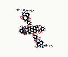 CCCCCCN(CCCCCC)c1ccc2c3c(cccc13)C(=O)C(c1ccc(Oc3cc4c5c(ccc6c7c(Oc8ccc(N9C(=O)c%10cccc%11c(N(CCCCCC)CCCCCC)ccc(c%10%11)C9=O)cc8)cc8c9c(ccc(c3c56)c97)C(=O)N(c3c(C(C)C)cccc3C(C)C)C8O)C(=O)N(c3c(CC(C)C)cccc3C(C)C)C4=O)cc1)CCC2=O